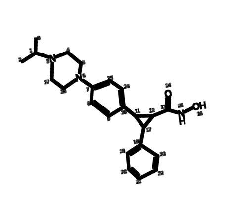 CC(C)N1CCN(c2ccc(C3C(C(=O)NO)C3c3ccccc3)cc2)CC1